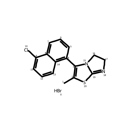 Br.CC1=C(c2cccc3c(Cl)cccc23)N2CCN=C2S1